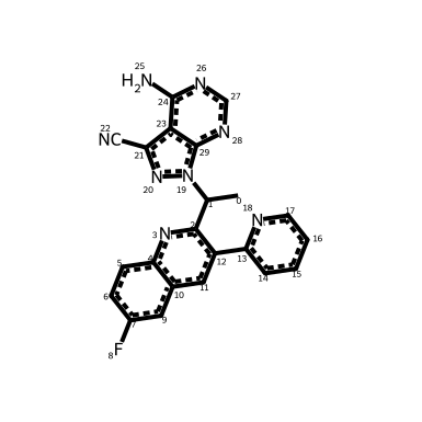 CC(c1nc2ccc(F)cc2cc1-c1ccccn1)n1nc(C#N)c2c(N)ncnc21